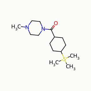 CN1CCN(C(=O)C2CCC(S(C)(C)C)CC2)CC1